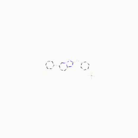 Oc1ccc(Cl)c(-c2ccc3nc(Nc4ccc(OC(F)(F)F)cc4)nn3c2)c1